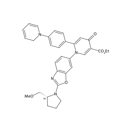 CCOC(=O)c1cn(-c2ccc3nc(N4CCC[C@@H]4COC)oc3c2)c(-c2ccc(N3C=CC=CC3)cc2)cc1=O